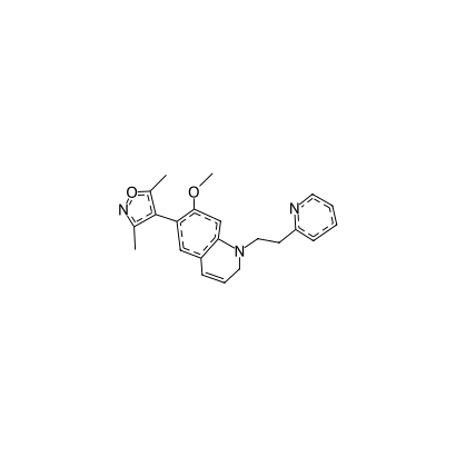 COc1cc2c(cc1-c1c(C)noc1C)C=CCN2CCc1ccccn1